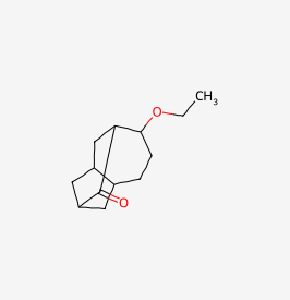 CCOC1CCC2CC3CC2CC1C3=O